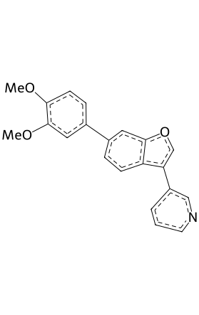 COc1ccc(-c2ccc3c(-c4cccnc4)coc3c2)cc1OC